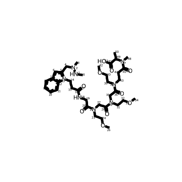 CNN(C)Cc1cc2ccccc2n1CCC(=O)NCC(=O)N(CCOC)CC(=O)N(CCOC)CC(=O)N(CCOC)CCC(=O)N(C)C(C)C(=O)O